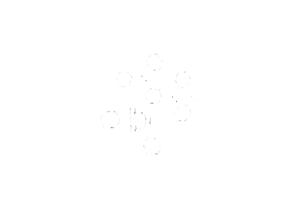 c1ccc(-c2nc(-c3ccccc3)nc(-c3cc(N4c5ccccc5Sc5ccccc54)cc(N4c5ccccc5Sc5ccccc54)c3)n2)cc1